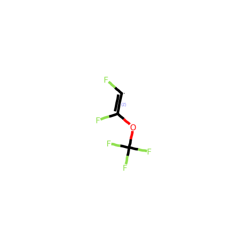 F/[C]=C(\F)OC(F)(F)F